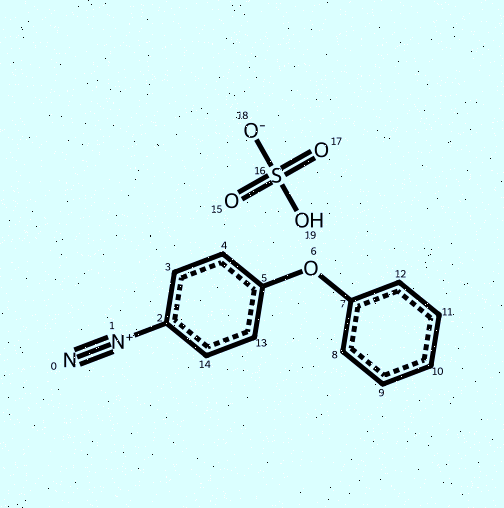 N#[N+]c1ccc(Oc2ccccc2)cc1.O=S(=O)([O-])O